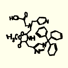 COC(=O)C(Cc1cn(C(c2ccccc2)(c2ccccc2)c2ccccc2)cn1)NC(=O)CN(CC(=O)O)Cc1ccncc1